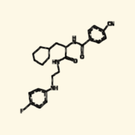 N#Cc1ccc(C(=O)NC(CC2CCCCC2)C(=O)NCCNc2ccc(F)cc2)cc1